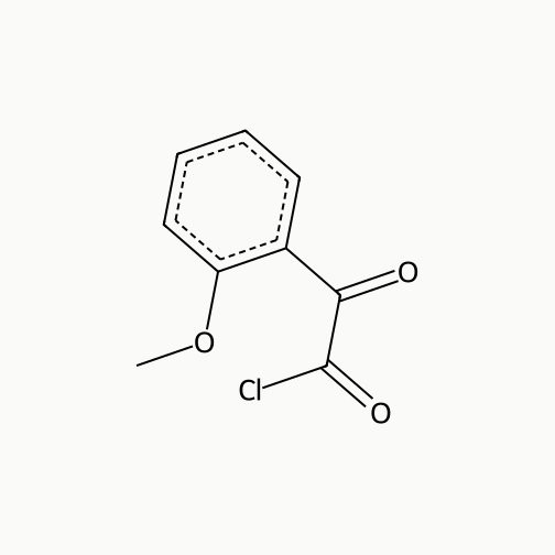 COc1ccccc1C(=O)C(=O)Cl